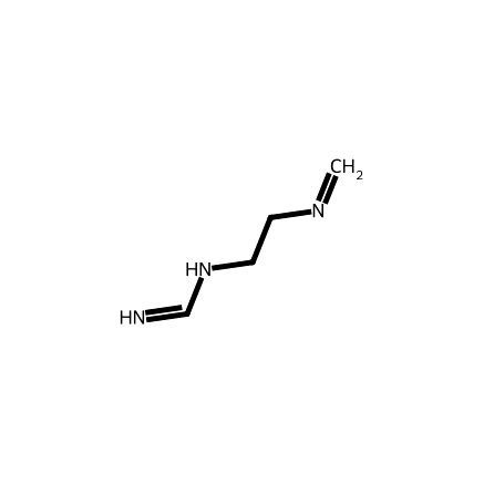 C=NCCNC=N